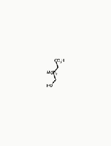 O=C(O)CCCO.[MgH2]